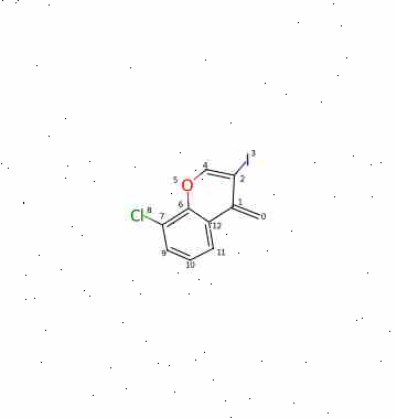 C=C1C(I)=COc2c(Cl)cccc21